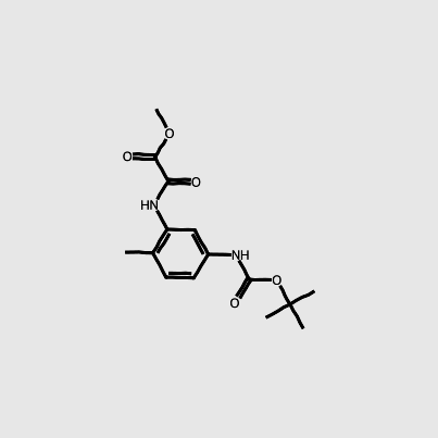 COC(=O)C(=O)Nc1cc(NC(=O)OC(C)(C)C)ccc1C